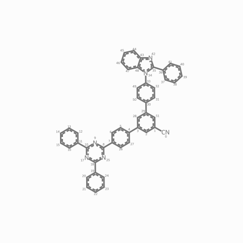 N#Cc1cc(-c2ccc(-c3nc(-c4ccccc4)nc(-c4ccccc4)n3)cc2)cc(-c2ccc(-n3c(-c4ccccc4)nc4ccccc43)cc2)c1